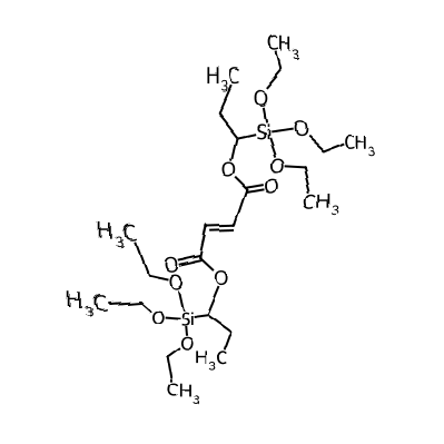 CCO[Si](OCC)(OCC)C(CC)OC(=O)/C=C/C(=O)OC(CC)[Si](OCC)(OCC)OCC